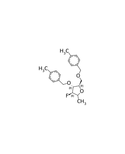 Cc1ccc(COC[C@H]2OC(C)[C@@H](F)[C@@H]2OCc2ccc(C)cc2)cc1